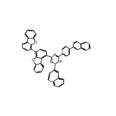 c1ccc2cc(-c3ccc(C4=NC(c5ccc(-c6cccc7c6oc6ccccc67)c6oc7ccccc7c56)=NC(c5ccc6ccccc6c5)N4)cc3)ccc2c1